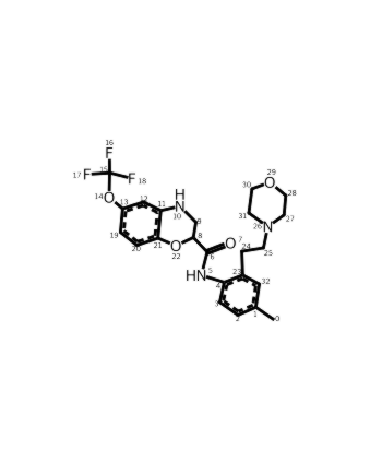 Cc1ccc(NC(=O)C2CNc3cc(OC(F)(F)F)ccc3O2)c(CCN2CCOCC2)c1